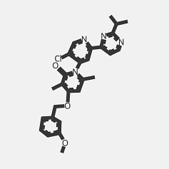 COc1cccc(COc2cc(C)n(-c3cc(-c4ccnc(C(C)C)n4)ncc3Cl)c(=O)c2C)c1